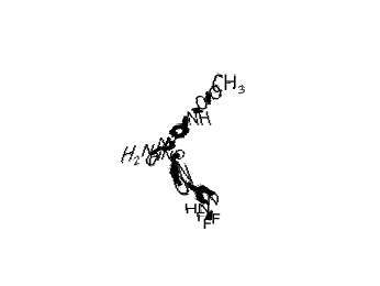 COCCOCCNCc1ccc(-n2cc(NC(=O)c3coc(-c4ccnc(NCC(F)(F)F)c4)n3)c(C(N)=O)n2)cc1